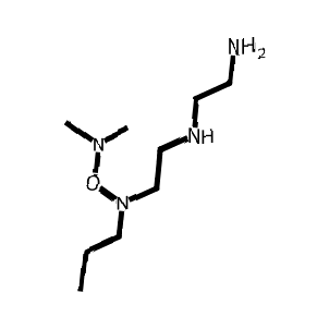 CCCN(CCNCCN)ON(C)C